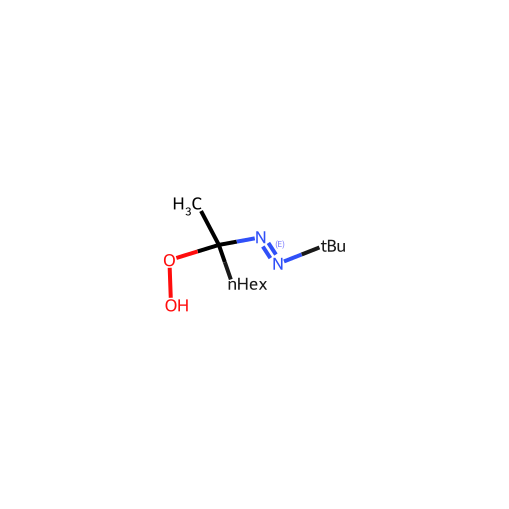 CCCCCCC(C)(/N=N/C(C)(C)C)OO